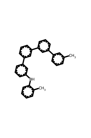 Cc1cccc(-c2cccc(-c3cccc(-c4cccc(Bc5ccccc5C)c4)c3)c2)c1